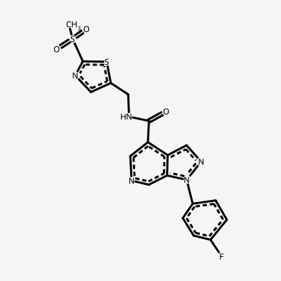 CS(=O)(=O)c1ncc(CNC(=O)c2cncc3c2cnn3-c2ccc(F)cc2)s1